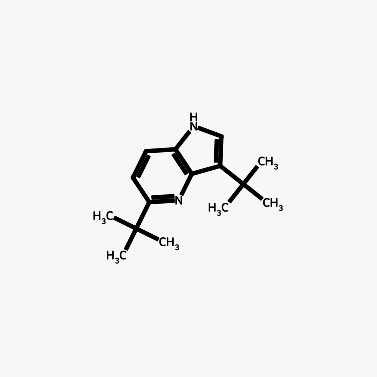 CC(C)(C)c1ccc2[nH]cc(C(C)(C)C)c2n1